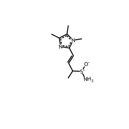 Cc1nc(C=CC(C)[S+](N)[O-])n(C)c1C